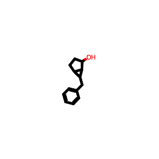 OC1CCC2C(Cc3ccccc3)C12